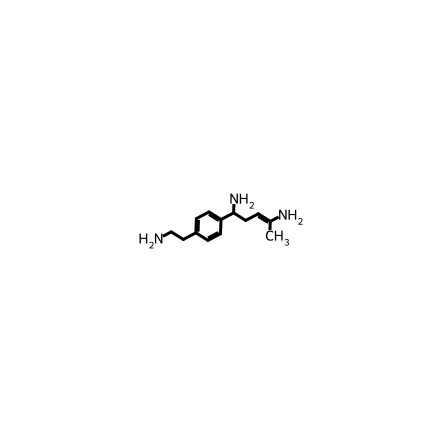 C/C(N)=C\CC(N)c1ccc(CCN)cc1